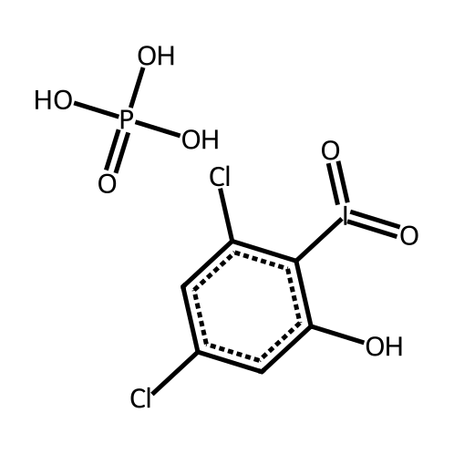 O=I(=O)c1c(O)cc(Cl)cc1Cl.O=P(O)(O)O